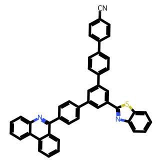 N#Cc1ccc(-c2ccc(-c3cc(-c4ccc(-c5nc6ccccc6c6ccccc56)cc4)cc(-c4nc5ccccc5s4)c3)cc2)cc1